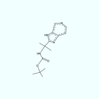 CC(C)(C)OC(=O)NC(C)(C)c1nc2ccncc2[nH]1